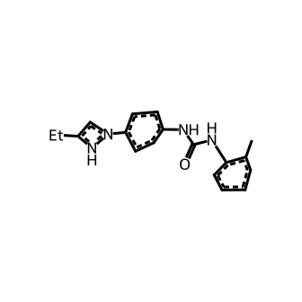 CCc1cn(-c2ccc(NC(=O)Nc3ccccc3C)cc2)[nH]1